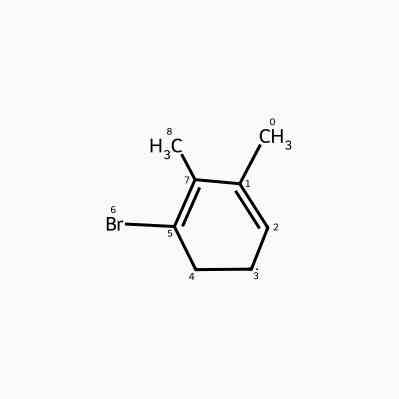 CC1=C[CH]CC(Br)=C1C